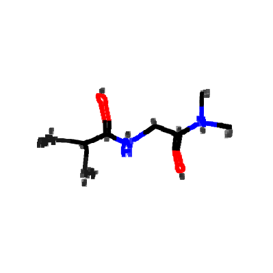 CCCC(CCC)C(=O)NCC(=O)N(C)C